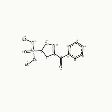 CCOP(=O)(OCC)C1CC(C(=O)c2ccccc2)=NO1